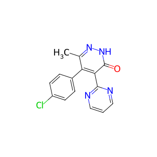 Cc1n[nH]c(=O)c(-c2ncccn2)c1-c1ccc(Cl)cc1